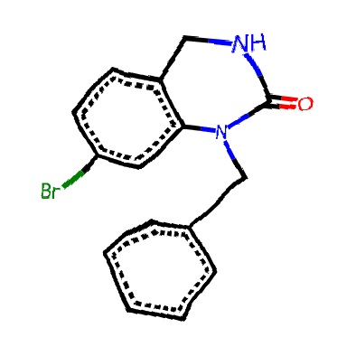 O=C1NCc2ccc(Br)cc2N1Cc1ccccc1